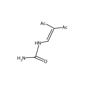 CC(=O)C(=CNC(N)=O)C(C)=O